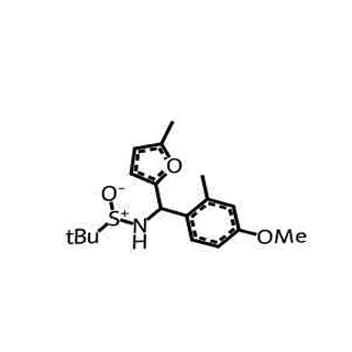 COc1ccc(C(N[S+]([O-])C(C)(C)C)c2ccc(C)o2)c(C)c1